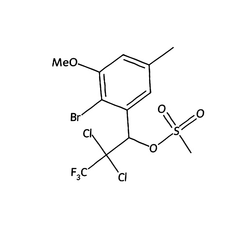 COc1cc(C)cc(C(OS(C)(=O)=O)C(Cl)(Cl)C(F)(F)F)c1Br